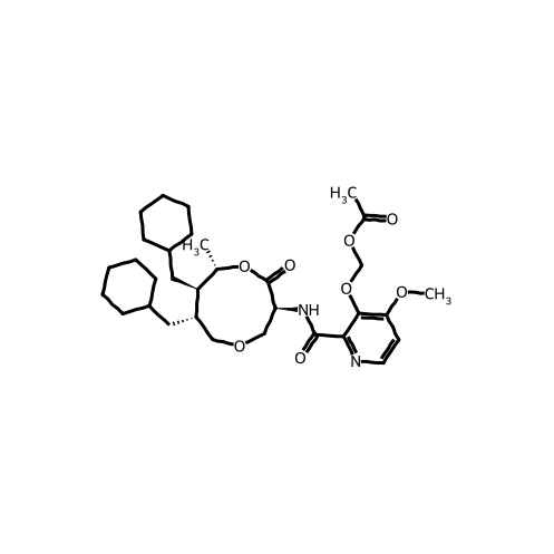 COc1ccnc(C(=O)N[C@H]2COC[C@H](CC3CCCCC3)[C@@H](CC3CCCCC3)[C@H](C)OC2=O)c1OCOC(C)=O